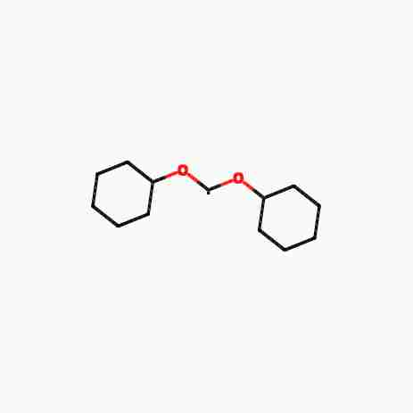 [CH](OC1CCCCC1)OC1CCCCC1